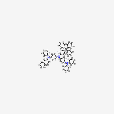 c1ccc(N(c2ccc(-n3c4ccc(N(c5ccccc5)c5ccccc5)cc4c4cc(C5(c6ccccc6)c6ccccc6-c6ccccc65)ccc43)cc2)c2ccc3ccccc3c2)cc1